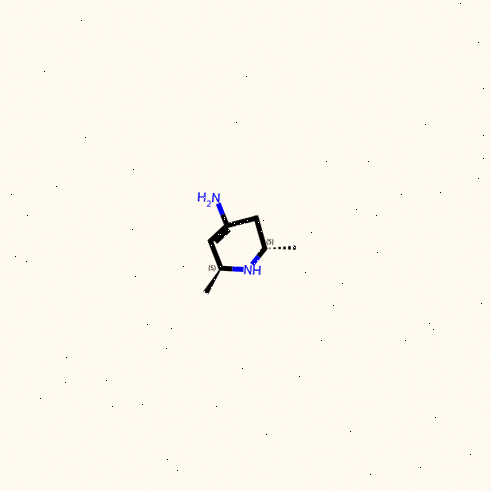 C[C@H]1C=C(N)C[C@H](C)N1